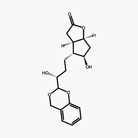 O=C1C[C@@H]2[C@@H](CC[C@@H](O)C3OCc4ccccc4O3)[C@H](O)C[C@@H]2O1